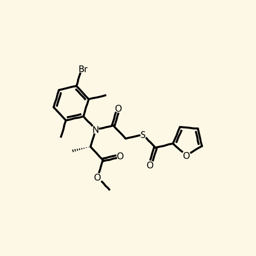 COC(=O)[C@H](C)N(C(=O)CSC(=O)c1ccco1)c1c(C)ccc(Br)c1C